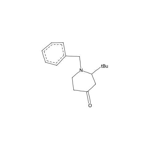 CC(C)(C)C1CC(=O)CCN1Cc1ccccc1